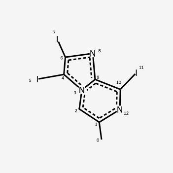 Cc1cn2c(I)c(I)nc2c(I)n1